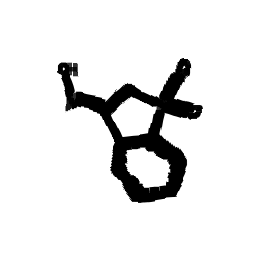 O=S1(=O)CC(=NO)c2ccccc21